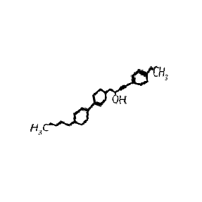 CCCCCC1CCC(C2CCC(CC(O)C#Cc3ccc(CC)cc3)CC2)CC1